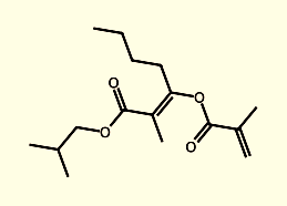 C=C(C)C(=O)OC(CCCC)=C(C)C(=O)OCC(C)C